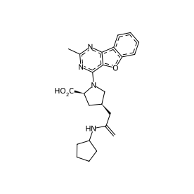 C=C(C[C@H]1C[C@@H](C(=O)O)N(c2nc(C)nc3c2oc2ccccc23)C1)NC1CCCC1